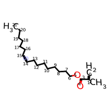 C=C(C)C(=O)OCCCCCCCC/C=C\CCCCCC